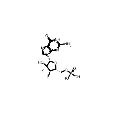 C[C@@]1(O)[C@H](F)[C@@H](COP(=O)(O)O)O[C@H]1n1cnc2c(=O)[nH]c(N)nc21